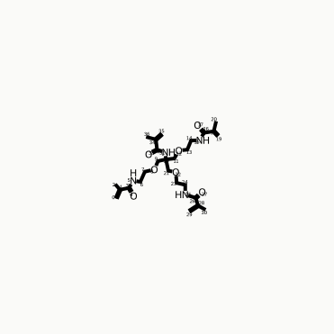 C=C(C)C(=O)NCCOCC(COCCNC(=O)C(=C)C)(COCCNC(=O)C(=C)C)NC(=O)C(=C)C